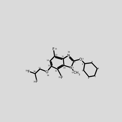 Cn1c(OC2CCCCC2)nc2c(F)cc(OCC(F)F)c(F)c21